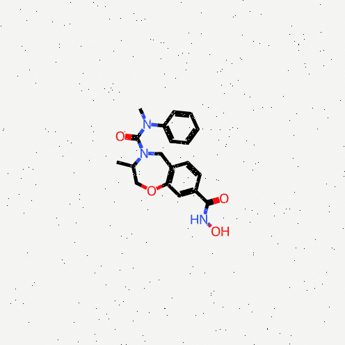 CC1COc2cc(C(=O)NO)ccc2CN1C(=O)N(C)c1ccccc1